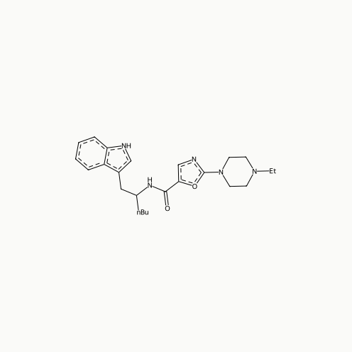 CCCCC(Cc1c[nH]c2ccccc12)NC(=O)c1cnc(N2CCN(CC)CC2)o1